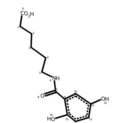 O=C(O)CCCCCNC(=O)c1cc(O)ccc1O